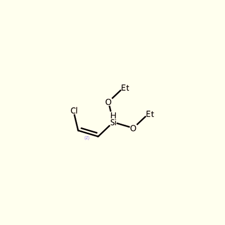 CCO[SiH](/C=C\Cl)OCC